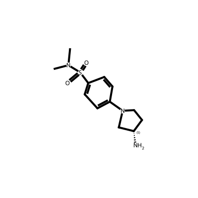 CN(C)S(=O)(=O)c1ccc(N2CC[C@H](N)C2)cc1